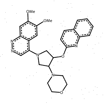 COc1cc2nncc(N3CC(Oc4ccc5ccccc5n4)C(N4CCOCC4)C3)c2cc1OC